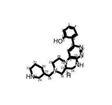 Oc1ccccc1-c1cc2c(nn1)NC[C@H]1CN(CC3CCCNC3)CCN21